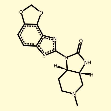 CN1CC[C@H]2[C@@H](C1)NC(=O)N2c1nc2c3c(ccc2s1)OCO3